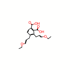 CCOC=CCc1ccc(C(=O)O)c(C(=O)O)c1CC=COCC